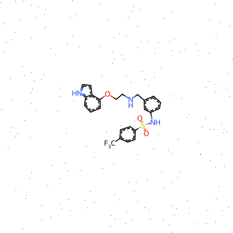 O=S(=O)(Nc1cccc(CNCCOc2cccc3[nH]ccc23)c1)c1ccc(C(F)(F)F)cc1